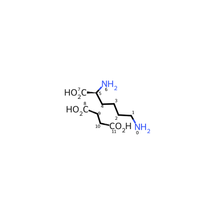 NCCCC[C@H](N)C(=O)O.O=C(O)CCC(=O)O